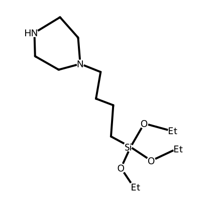 CCO[Si](CCCCN1CCNCC1)(OCC)OCC